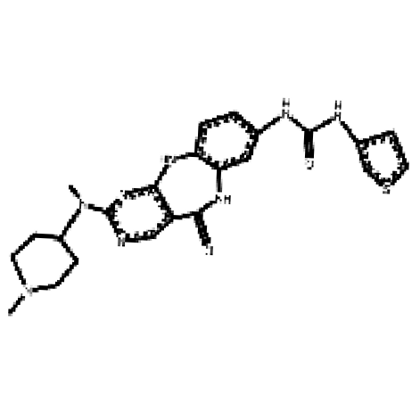 CN1CCC(N(C)c2ncc3c(n2)Nc2ccc(NC(=O)Nc4ccsc4)cc2NC3=O)CC1